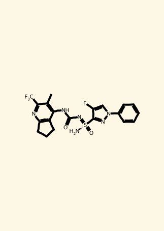 Cc1c(C(F)(F)F)nc2c(c1NC(=O)N=[S@](N)(=O)c1nn(-c3ccccc3)cc1F)CCC2